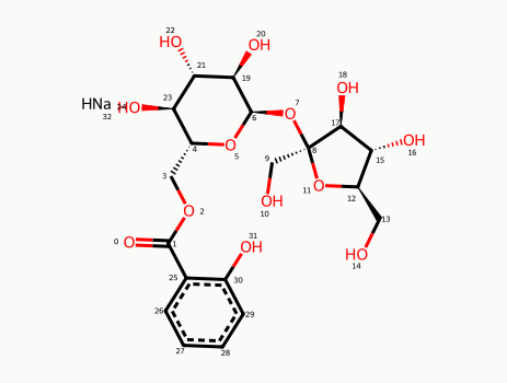 O=C(OC[C@H]1O[C@H](O[C@]2(CO)O[C@H](CO)[C@@H](O)[C@@H]2O)[C@H](O)[C@@H](O)[C@@H]1O)c1ccccc1O.[NaH]